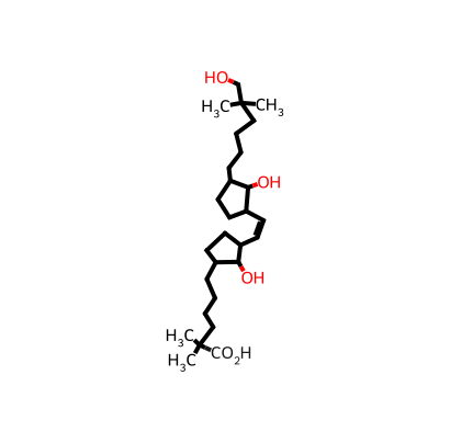 CC(C)(CO)CCCCC1CCC(/C=C\C2CCC(CCCCC(C)(C)C(=O)O)C2O)C1O